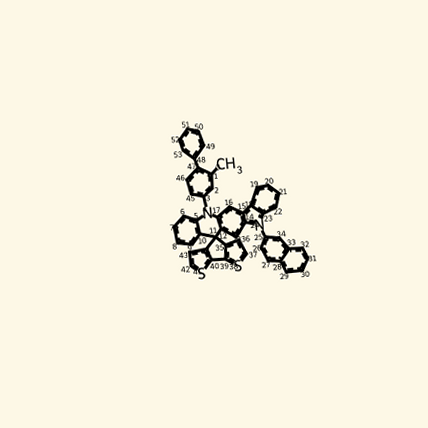 Cc1cc(N2c3ccccc3C3(c4cc5c(cc42)c2ccccc2n5-c2ccc4ccccc4c2)c2ccsc2-c2sccc23)ccc1-c1ccccc1